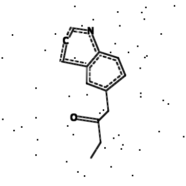 CCC(=O)Cc1ccc2ncccc2c1